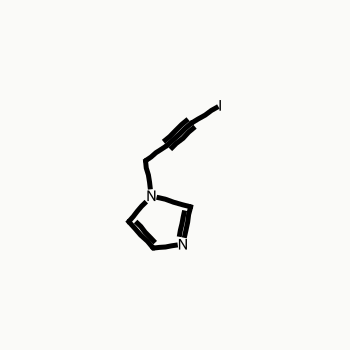 IC#CCn1ccnc1